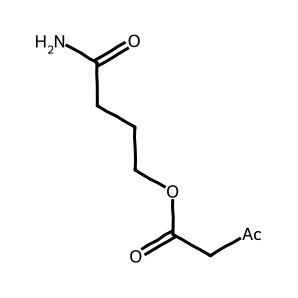 CC(=O)CC(=O)OCCCC(N)=O